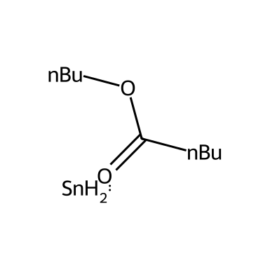 CCCCOC(=O)CCCC.[SnH2]